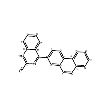 Clc1nc(-c2ccc3c(ccc4ccccc43)c2)c2ccccc2n1